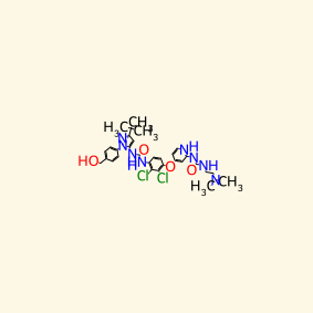 CN(C)CCNC(=O)Nc1cc(Oc2ccc(NC(=O)Nc3cc(C(C)(C)C)nn3-c3ccc(CO)cc3)c(Cl)c2Cl)ccn1